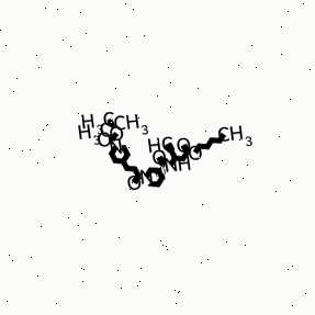 C#CC(CC(=O)OCCCCC)NC(=O)[C@@H]1CCCN(C(=O)CCC2CCN(C(=O)OC(C)(C)C)CC2)C1